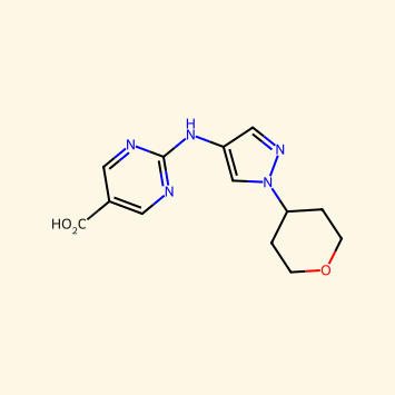 O=C(O)c1cnc(Nc2cnn(C3CCOCC3)c2)nc1